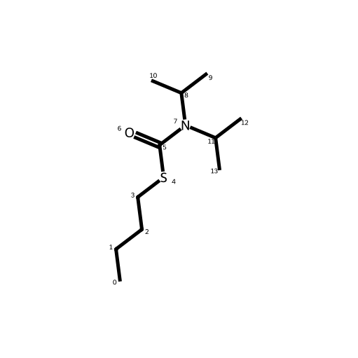 CCCCSC(=O)N(C(C)C)C(C)C